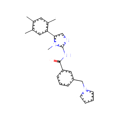 Cc1cc(C)c(-c2cnc(NC(=O)c3cccc(Cn4cccc4)c3)n2C)cc1C